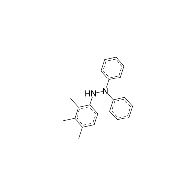 Cc1ccc(NN(c2ccccc2)c2ccccc2)c(C)c1C